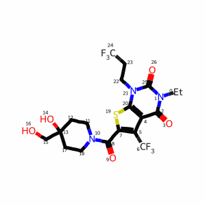 CCn1c(=O)c2c(C(F)(F)F)c(C(=O)N3CCC(O)(CO)CC3)sc2n(CCC(F)(F)F)c1=O